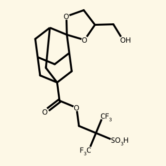 O=C(OCC(C(F)(F)F)(C(F)(F)F)S(=O)(=O)O)C12CC3CC(C1)C1(OCC(CO)O1)C(C3)C2